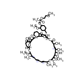 COCCOP(C)(=O)O[C@@H]1CCC(C[C@H]2C3CCCN4C(=O)C(=O)C5(O)O[C@@H](CCC5C)C[C@H](OC)/C(C)=C/C=C/C=C/[C@@H](C)CC(C)C(=O)[C@H](OC)C(O)/C(C)=C/C(C)C(=O)C[C@@H]2OC(=O)C34)CC1OC